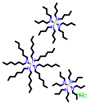 CCCCCCN(CCCCCC)[P+](N(CCCCCC)CCCCCC)(N(CCCCCC)CCCCCC)N(CCCCCC)CCCCCC.CCCCN(CCCC)[P+](N(CCCC)CCCC)(N(CCCC)CCCC)N(CCCC)CCCC.CCCN(CCC)[P+](N(CCC)CCC)(N(CCC)CCC)N(CCC)CCC.Cl.Cl